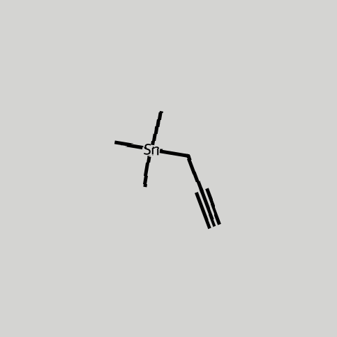 C#C[CH2][Sn]([CH3])([CH3])[CH3]